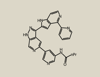 CCCC(=O)Nc1cncc(-c2cc3c(-c4cc5c(-c6ccccn6)nccc5[nH]4)n[nH]c3cn2)c1